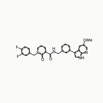 COc1cnc2[nH]cc(-c3cccc(CNC(=O)c4cccn(Cc5ccc(F)c(F)c5)c4=O)c3)c2c1